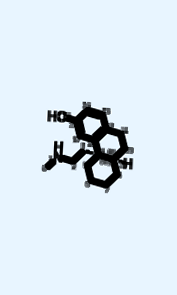 CNCC[C@@]12CCCC[C@@H]1CCc1ccc(O)cc12